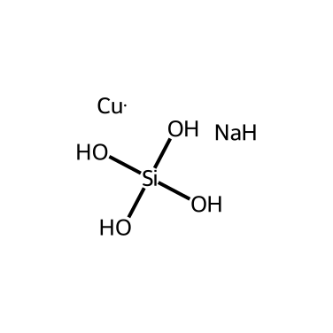 O[Si](O)(O)O.[Cu].[NaH]